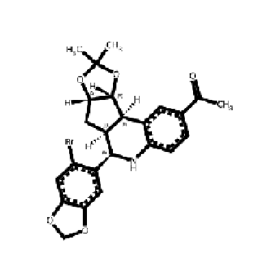 CC(=O)c1ccc2c(c1)[C@H]1[C@H](C[C@@H]3OC(C)(C)O[C@H]13)[C@H](c1cc3c(cc1Br)OCO3)N2